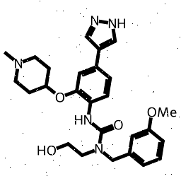 COc1cccc(CN(CCO)C(=O)Nc2ccc(-c3cn[nH]c3)cc2OC2CCN(C)CC2)c1